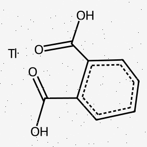 O=C(O)c1ccccc1C(=O)O.[Tl]